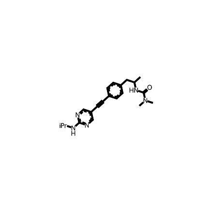 CC(C)Nc1ncc(C#Cc2ccc(CC(C)NC(=O)N(C)C)cc2)cn1